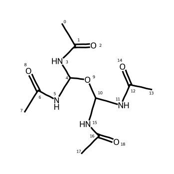 CC(=O)NC(NC(C)=O)OC(NC(C)=O)NC(C)=O